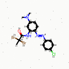 CN(C)c1ccc(/N=N/c2ccc(Cl)cc2)c(NC(=O)C(C)(Br)Br)c1